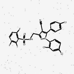 N#Cc1c(CNS(=O)(=O)c2c(F)ccc(F)c2F)nn(-c2ccc(Cl)cc2Cl)c1-c1ccc(Cl)cc1